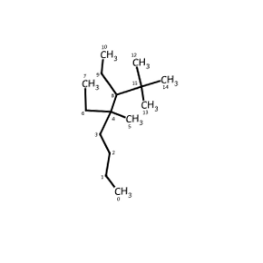 CCCCC(C)(CC)C(CC)C(C)(C)C